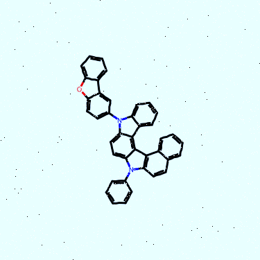 c1ccc(-n2c3ccc4ccccc4c3c3c4c5ccccc5n(-c5ccc6oc7ccccc7c6c5)c4ccc32)cc1